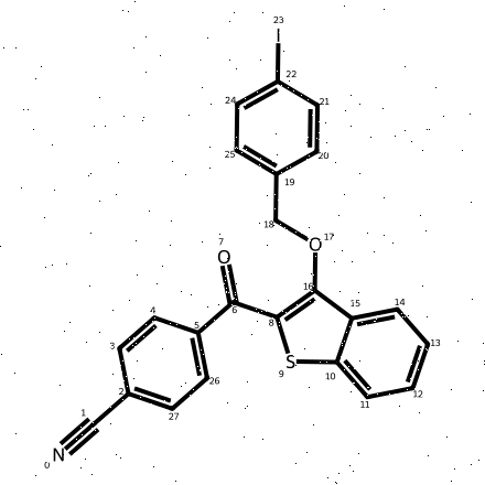 N#Cc1ccc(C(=O)c2sc3ccccc3c2OCc2ccc(I)cc2)cc1